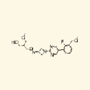 COCc1cccc(-c2cnc(N3CC(=NOCC(CO)COC)C3)nc2)c1F